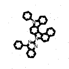 c1ccc(-c2nc(-n3c4ccc5ccccc5c4c4c5c6ccccc6n(-c6ccccc6)c5ccc43)nc3ccccc23)cc1